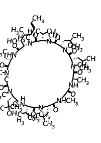 C/C=C/C[C@@H](C)[C@@H](O)[C@H]1C(=O)N[C@@H](CC)C(=O)N(C)CC(=O)N(C)[C@@H](CC(C)(C)O)C(=O)N[C@@H](C(C)C)C(=O)N(C)[C@@H](CC(C)C)C(=O)N[C@@H](C)C(=O)N[C@H](C)C(=O)N(C)[C@@H](CC(C)C)C(=O)N(C)[C@@H](CC(C)C)C(=O)N(C)[C@@H](C(C)C)C(=O)N1C